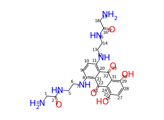 NCC(=O)NCCNc1ccc(NCCNC(=O)CN)c2c1C(=O)c1c(O)ccc(O)c1C2=O